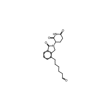 O=CCCCCCc1cccc2c1CN(C1CCC(=O)NC1=O)C2=O